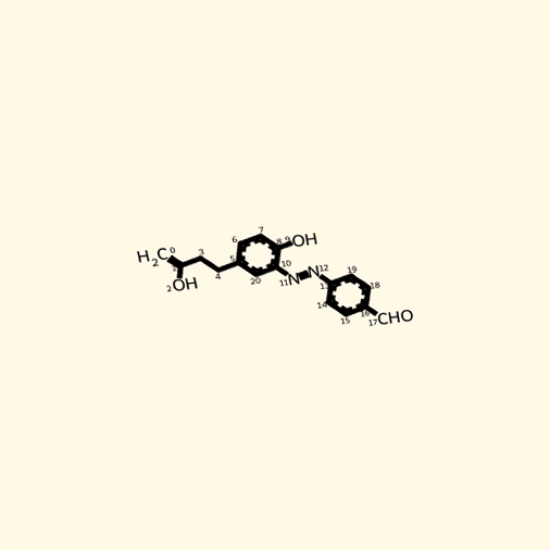 C=C(O)CCc1ccc(O)c(/N=N/c2ccc(C=O)cc2)c1